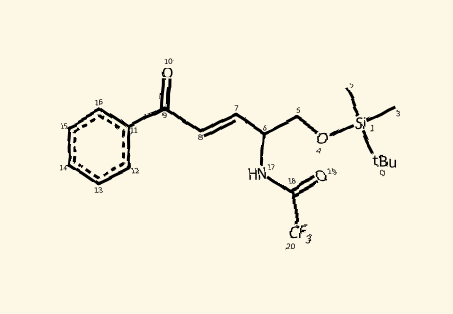 CC(C)(C)[Si](C)(C)OCC(/C=C/C(=O)c1ccccc1)NC(=O)C(F)(F)F